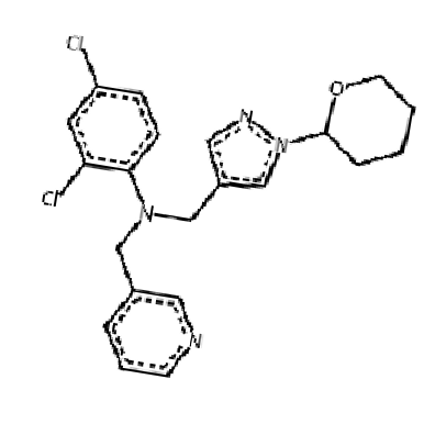 Clc1ccc(N(Cc2cccnc2)Cc2cnn(C3CCCCO3)c2)c(Cl)c1